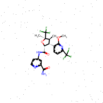 COc1nc(C(F)(F)F)ccc1[C@@H]1[C@H](C(=O)Nc2ccnc(C(N)=O)c2)O[C@@](C)(C(F)(F)F)[C@H]1C